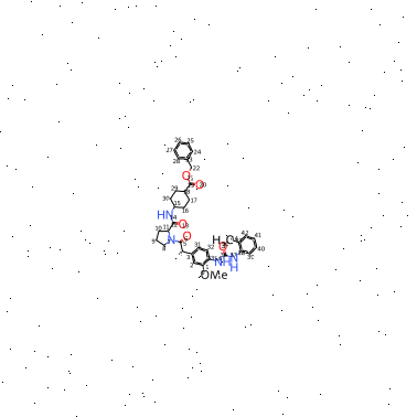 COc1cc(CC(=O)N2CCCC2C(=O)NC2CCC(C(=O)OCc3ccccc3)CC2)ccc1NC(=O)Nc1ccccc1C